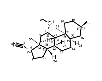 CO[C@H]1C[C@]2(C)[C@@H](C#N)CC[C@H]2[C@@H]2CC[C@@H]3C[C@H](C)CC[C@]3(C)[C@H]21